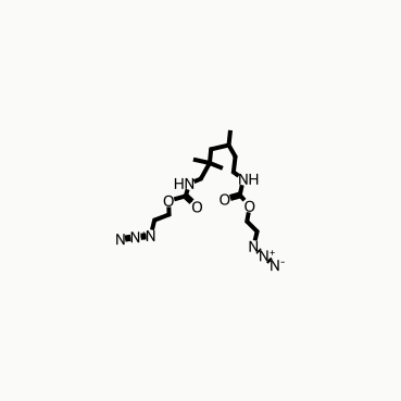 CC(CCNC(=O)OCCN=[N+]=[N-])CC(C)(C)CNC(=O)OCCN=[N+]=[N-]